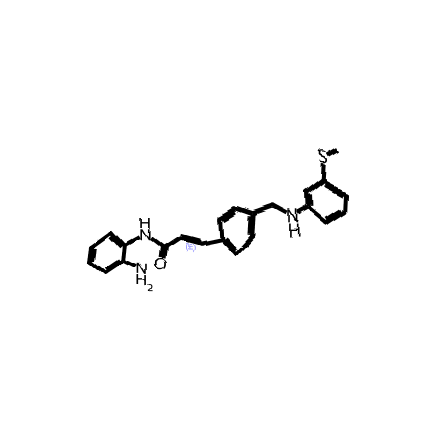 CSc1cccc(NCc2ccc(/C=C/C(=O)Nc3ccccc3N)cc2)c1